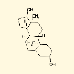 C[C@]12CC[C@H]3[C@@H](CCC4C[C@H](O)CC[C@@]43C)[C@@H]1CC[C@H]2O